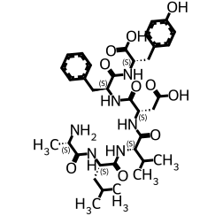 CC(C)C[C@H](NC(=O)[C@H](C)N)C(=O)N[C@H](C(=O)N[C@@H](CC(=O)O)C(=O)N[C@@H](Cc1ccccc1)C(=O)N[C@@H](Cc1ccc(O)cc1)C(=O)O)C(C)C